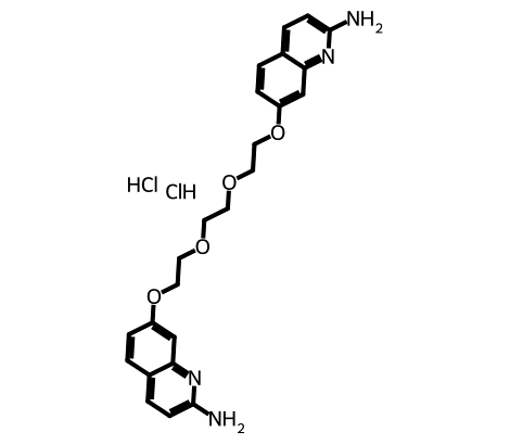 Cl.Cl.Nc1ccc2ccc(OCCOCCOCCOc3ccc4ccc(N)nc4c3)cc2n1